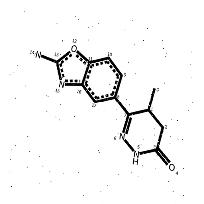 CC1CC(=O)NN=C1c1ccc2oc([N])nc2c1